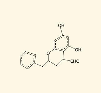 O=CC1CC(Cc2ccccc2)Oc2cc(O)cc(O)c21